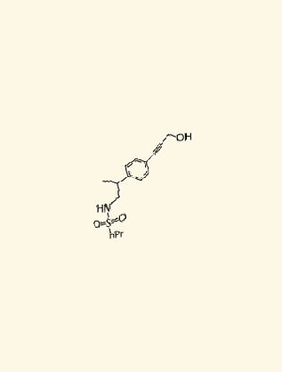 CCCS(=O)(=O)NCC(C)c1ccc(C#CCO)cc1